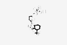 O=P(O)(S)OC[C@@H]1CC[C@H](n2nnc3c(C(F)(F)F)cccc32)O1